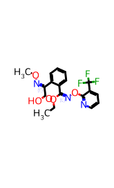 CCO/C(=N/Oc1ncccc1C(F)(F)F)c1ccccc1/C(=N\OC)C(=O)O